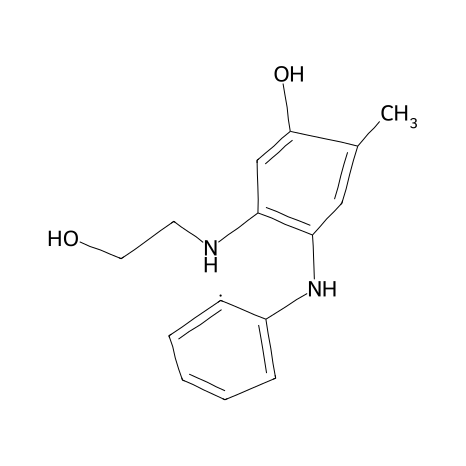 Cc1cc(Nc2[c]cccc2)c(NCCO)cc1O